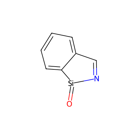 O=[Si]1N=Cc2ccccc21